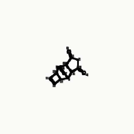 O=C1CC(=O)C2C3C=CC(C4C=CC43)C12